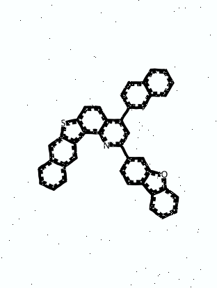 c1ccc2cc(-c3cc(-c4ccc5c(c4)oc4ccccc45)nc4c3ccc3sc5cc6ccccc6cc5c34)ccc2c1